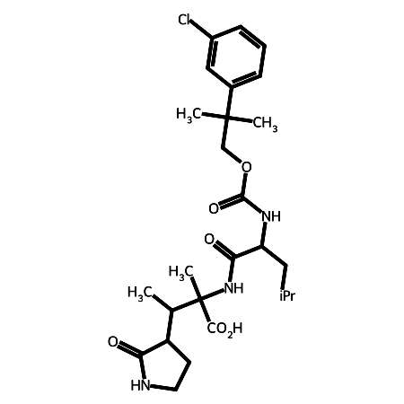 CC(C)CC(NC(=O)OCC(C)(C)c1cccc(Cl)c1)C(=O)NC(C)(C(=O)O)C(C)C1CCNC1=O